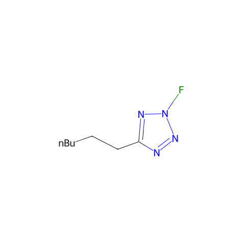 CCCCCCc1nnn(F)n1